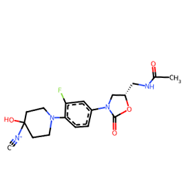 [C-]#[N+]C1(O)CCN(c2ccc(N3C[C@H](CNC(C)=O)OC3=O)cc2F)CC1